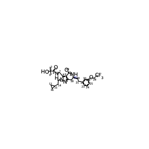 CC(C)(O)C(=O)NCc1c2c(nn1CCC1CC1)C/C(=C\Cc1cccc(OCC(F)(F)F)c1)NC2=O